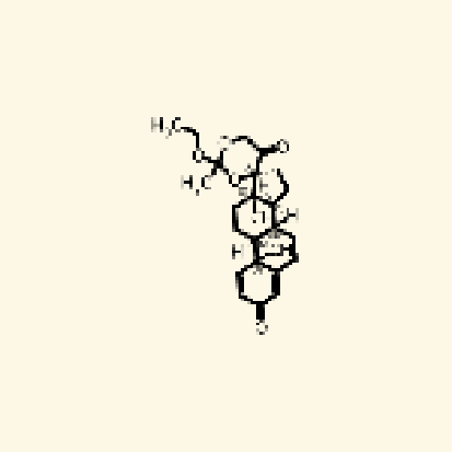 CCOC1(C)OCC(=O)[C@]2(CC[C@H]3[C@@H]4CCC5=CC(=O)C=C[C@]5(C)[C@H]4CC[C@@]32C)O1